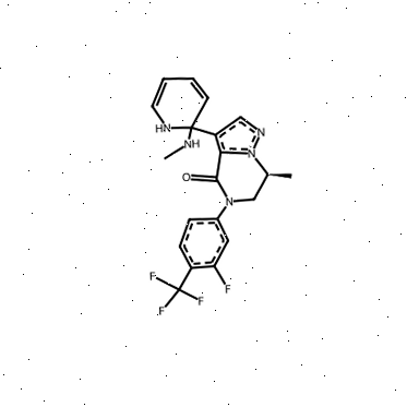 CNC1(c2cnn3c2C(=O)N(c2ccc(C(F)(F)F)c(F)c2)C[C@@H]3C)C=CC=CN1